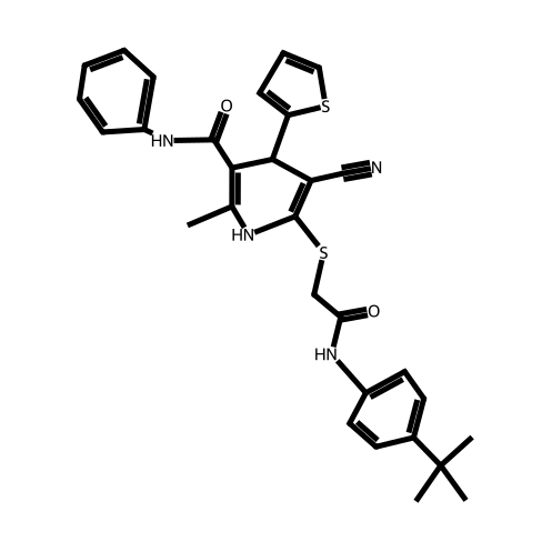 CC1=C(C(=O)Nc2ccccc2)C(c2cccs2)C(C#N)=C(SCC(=O)Nc2ccc(C(C)(C)C)cc2)N1